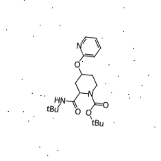 CC(C)(C)NC(=O)C1CC(Oc2ccccn2)CCN1C(=O)OC(C)(C)C